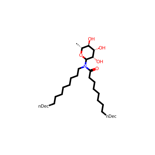 CCCCCCCCCCCCCCCCCCN(C(=O)CCCCCCCCCCCCCCCCC)C1O[C@H](C)[C@@H](O)[C@H](O)[C@@H]1O